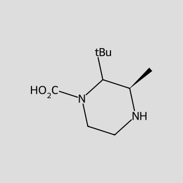 C[C@H]1NCCN(C(=O)O)C1C(C)(C)C